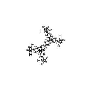 Cc1cc(C)c(-c2ccc(N(c3ccc(-c4ccc(N(c5ccc(-c6[nH]c(C)cc6C)cc5)c5ccc(-c6[nH]c(C)cc6C)cc5)cc4)cc3)c3ccc(-c4[nH]c(C)cc4C)cc3)cc2)[nH]1